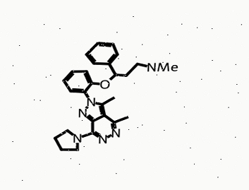 CNCCC(Oc1ccccc1-n1nc2c(N3CCCC3)nnc(C)c2c1C)c1ccccc1